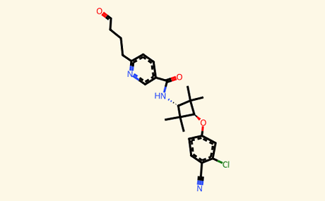 CC1(C)[C@H](NC(=O)c2ccc(CCCC=O)nc2)C(C)(C)[C@H]1Oc1ccc(C#N)c(Cl)c1